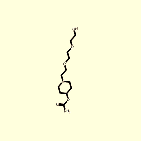 NC(=O)OC1CCN(CCOCCOCCO)CC1